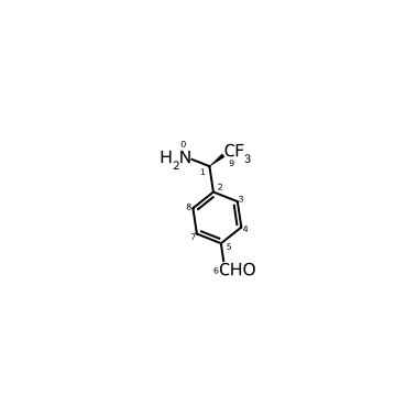 N[C@H](c1ccc(C=O)cc1)C(F)(F)F